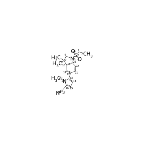 CCS(=O)(=O)N1CC(C)(C)c2cc(-c3ccc(C#N)n3C)ccc21